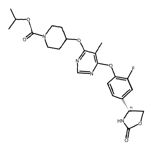 Cc1c(Oc2ccc([C@@H]3COC(=O)N3)cc2F)ncnc1OC1CCN(C(=O)OC(C)C)CC1